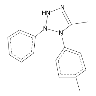 CC1=NNN(c2ccccc2)N1c1ccc(C)cc1